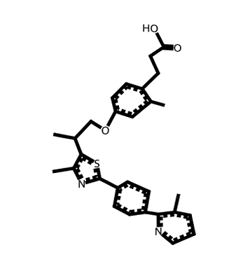 Cc1cc(OCC(C)c2sc(-c3ccc(-c4ncccc4C)cc3)nc2C)ccc1CCC(=O)O